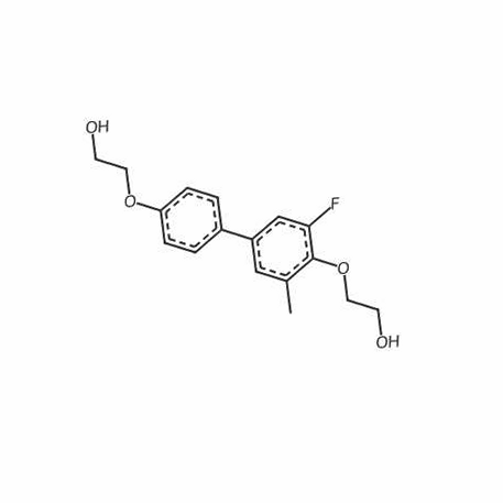 Cc1cc(-c2ccc(OCCO)cc2)cc(F)c1OCCO